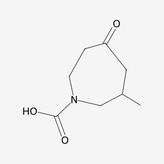 CC1CC(=O)CCN(C(=O)O)C1